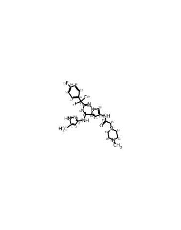 Cc1cc(Nc2nc(C(F)(F)c3ccc(F)cc3)nn3cc(NC(=O)CN4CCN(C)CC4)cc23)n[nH]1